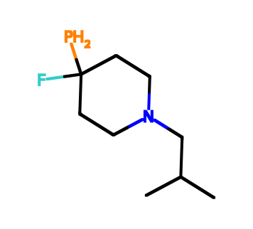 CC(C)CN1CCC(F)(P)CC1